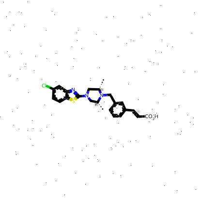 C[C@@H]1CN(c2nc3cc(Cl)ccc3s2)C[C@H](C)N1Cc1cccc(/C=C/C(=O)O)c1